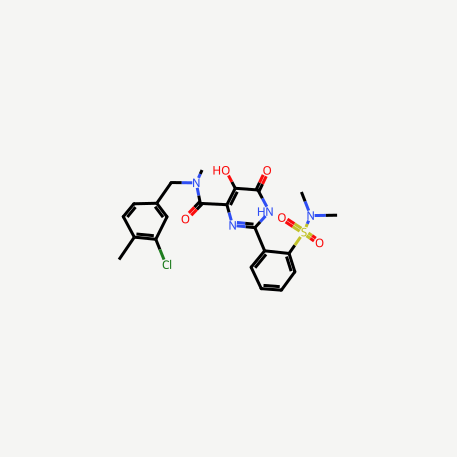 Cc1ccc(CN(C)C(=O)c2nc(-c3ccccc3S(=O)(=O)N(C)C)[nH]c(=O)c2O)cc1Cl